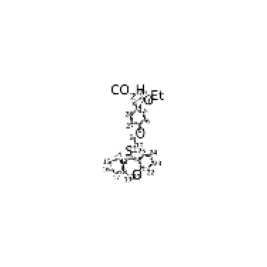 CCOC(Cc1ccc(OCCSC2c3ccccc3COc3ccccc32)cc1)C(=O)O